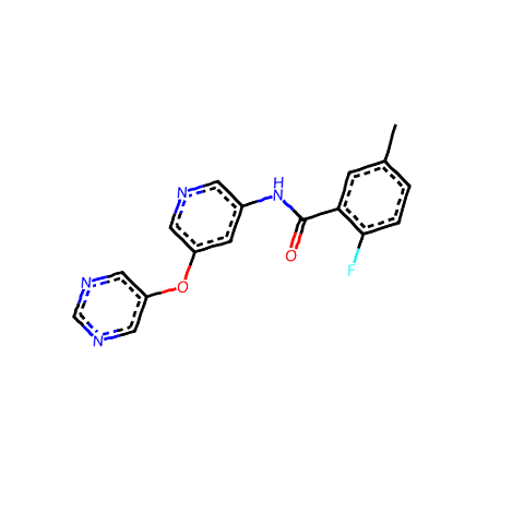 Cc1ccc(F)c(C(=O)Nc2cncc(Oc3cncnc3)c2)c1